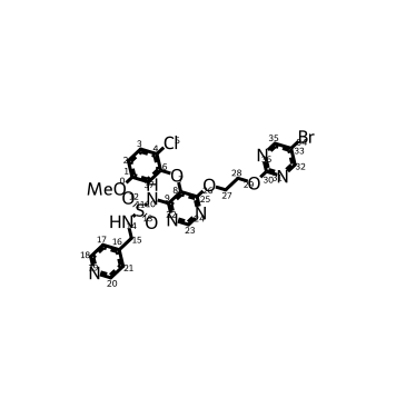 COc1ccc(Cl)c(Oc2c(NS(=O)(=O)NCc3ccncc3)ncnc2OCCOc2ncc(Br)cn2)c1